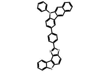 c1ccc(-n2c3ccc(-c4ccc(-c5nc6c(ccc7sc8ccccc8c76)o5)cc4)cc3c3cc4ccccc4cc32)cc1